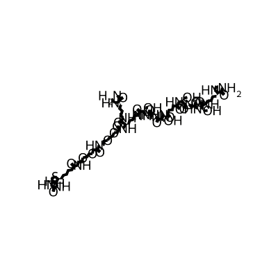 CN[C@@H](CCCCNC(=O)[C@H](CO)NC(=O)CNC(=O)[C@H](CO)NC(=O)CCCC(=O)N[C@@H](CO)C(=O)NCC(=O)N[C@@H](CO)C(=O)NCCCC[C@H](NC(=O)COCCOCCNC(=O)COCCOCCNC(=O)CCCCC[C@@H]1SC[C@@H]2NC(=O)N[C@@H]21)C(=O)NCCCC[C@H](NC)C(N)=O)C(N)=O